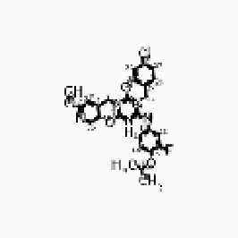 COc1cc(Cn2c(=O)[nH]/c(=N\c3ccc(OC(C)C)c(F)c3)n(Cc3ccc(Cl)cc3)c2=O)ccn1